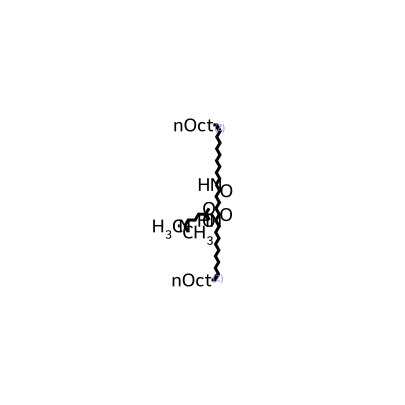 CCCCCCCC/C=C\CCCCCCCCNC(=O)CCC(OC(=O)CCCN(C)C)C(=O)NCCCCCCCC/C=C\CCCCCCCC